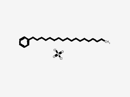 CCCCCCCCCCCCCCCCCCc1ccccc1.O=S(=O)(Cl)Cl